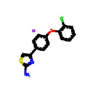 I.Nc1nc(-c2ccc(Oc3ccccc3Cl)cc2)cs1